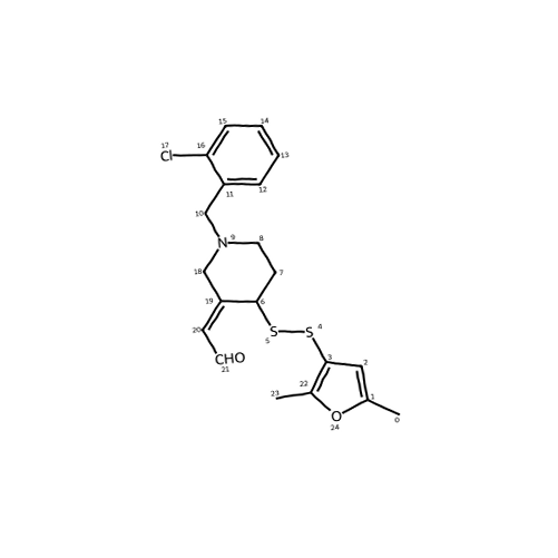 Cc1cc(SSC2CCN(Cc3ccccc3Cl)C/C2=C/C=O)c(C)o1